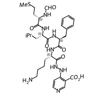 CSCC[C@H](NC=O)C(=O)N[C@@H](CC(C)C)C(=O)N[C@@H](Cc1ccccc1)C(=O)N[C@@H](CCCCN)C(=O)NNc1ccncc1C(=O)O